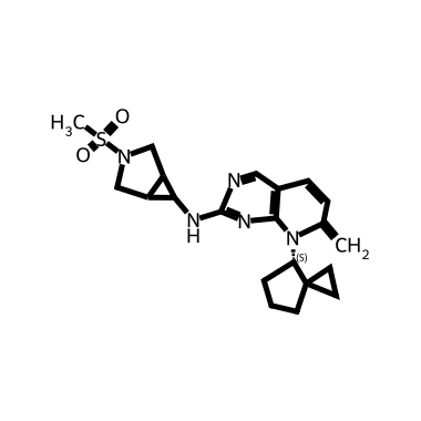 C=C1C=Cc2cnc(NC3C4CN(S(C)(=O)=O)CC43)nc2N1[C@H]1CCCC12CC2